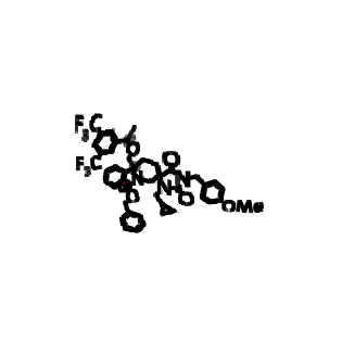 COc1ccc(CN2C(=O)N(CC3CC3)C3(CC[C@@](CO[C@H](C)c4cc(C(F)(F)F)cc(C(F)(F)F)c4)(c4ccccc4)N(C(=O)OCc4ccccc4)C3)C2=O)cc1